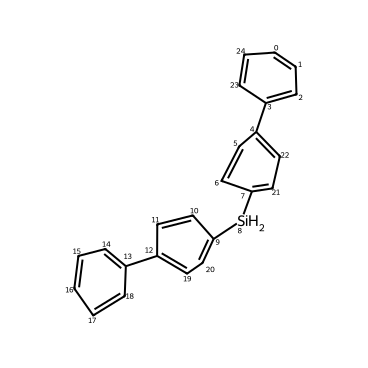 c1ccc(-c2ccc([SiH2]c3ccc(-c4ccccc4)cc3)cc2)cc1